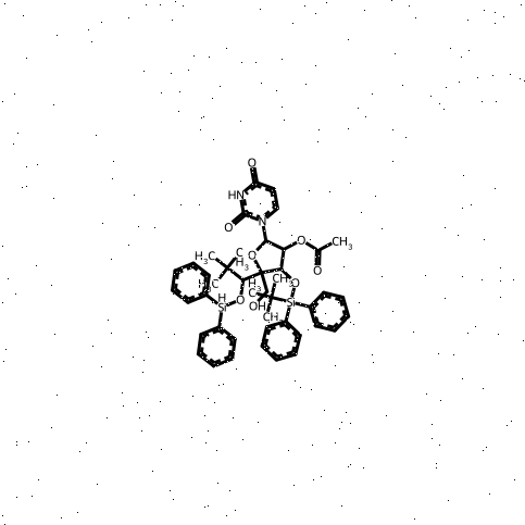 CC(=O)OC1C(n2ccc(=O)[nH]c2=O)OC(CO)(C(O[SiH](c2ccccc2)c2ccccc2)C(C)(C)C)C1O[Si](c1ccccc1)(c1ccccc1)C(C)(C)C